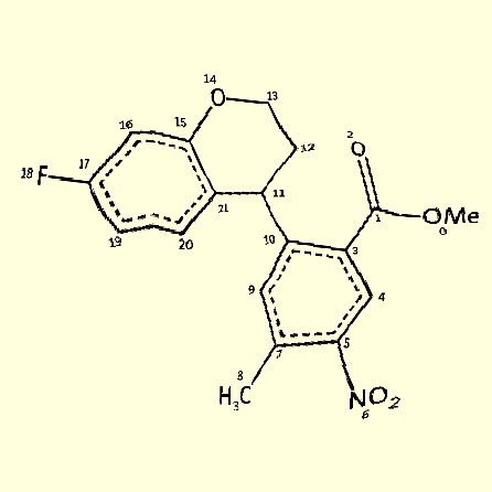 COC(=O)c1cc([N+](=O)[O-])c(C)cc1C1CCOc2cc(F)ccc21